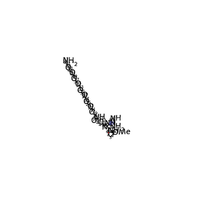 COc1cccc2cc(-c3nc([C@H]4CC[C@H](C(=O)NCCOCCOCCOCCOCCOCCOCCOCCOCCOCCN)CC4)[nH]c3/C(N)=N\C=N)[nH]c12